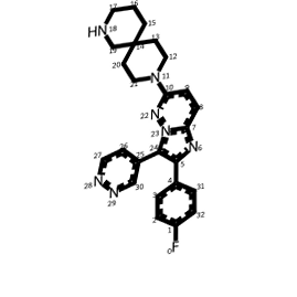 Fc1ccc(-c2nc3ccc(N4CCC5(CCCNC5)CC4)nn3c2-c2ccnnc2)cc1